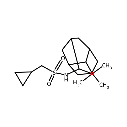 CC(C)(C)C1C2CC3CC1CC(C2)C3NS(=O)(=O)CC1CC1